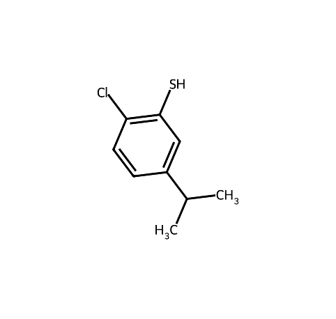 CC(C)c1ccc(Cl)c(S)c1